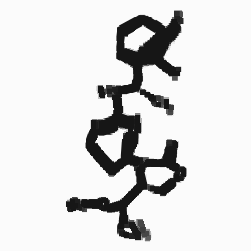 C[C@H](Nc1nccc(N2C(=O)OC[C@@H]2[C@@H](C)OC(C)(C)C)n1)c1cccc(F)c1F